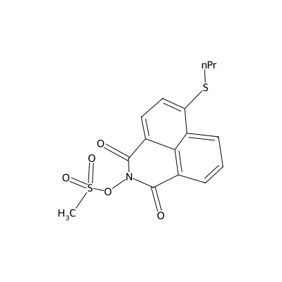 CCCSc1ccc2c3c(cccc13)C(=O)N(OS(C)(=O)=O)C2=O